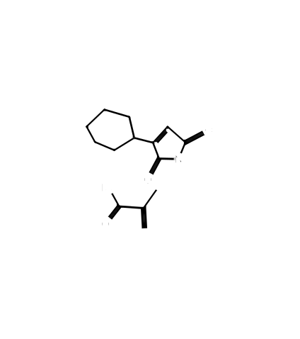 C=C(C)C(=O)O.O=C1C=C(C2CCCCC2)C(=O)N1